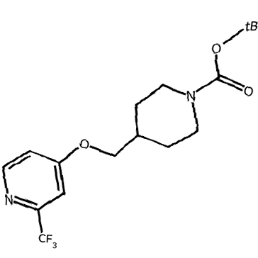 CC(C)(C)OC(=O)N1CCC(COc2ccnc(C(F)(F)F)c2)CC1